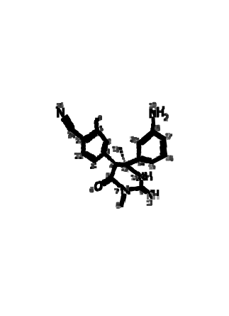 Cc1cc([C@@H]2C(=O)N(C)C(=N)N[C@]2(C)c2cccc(N)c2)ccc1C#N